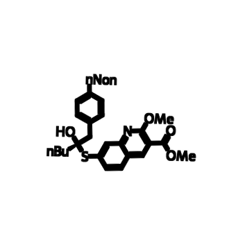 CCCCCCCCCc1ccc(C[C@](O)(CCCC)Sc2ccc3cc(C(=O)OC)c(OC)nc3c2)cc1